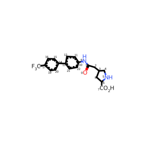 O=C(CC1CNC(C(=O)O)C1)Nc1ccc(-c2ccc(C(F)(F)F)cc2)cc1